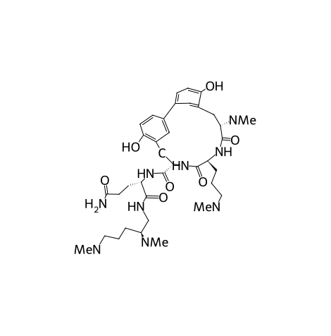 CNCCC[C@@H](CNC(=O)[C@H](CCC(N)=O)NC(=O)[C@@H]1Cc2cc(ccc2O)-c2ccc(O)c(c2)C[C@H](NC)C(=O)N[C@@H](CCCNC)C(=O)N1)NC